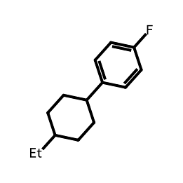 CCC1CCC(c2ccc(F)cc2)CC1